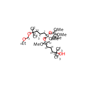 CCOCOC(CCC[Si](OC)(O[Si](C)(CCCC(O)(C(F)(F)F)C(F)(F)F)OC)O[Si](OC)(OC)OC)(C(F)(F)F)C(F)(F)F